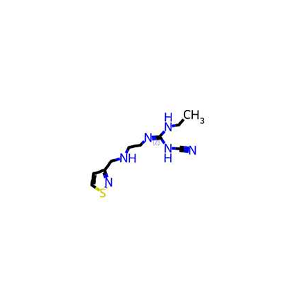 CCN/C(=N/CCNCc1ccsn1)NC#N